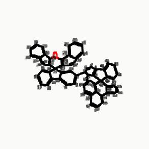 CC1C2=C(C=CC1c1ccc3c(c1)C1(c4ccccc4-3)c3ccc4ccccc4c3Oc3c1ccc1ccccc31)c1ccccc1C21c2ccccc2-c2cccc3cccc1c23